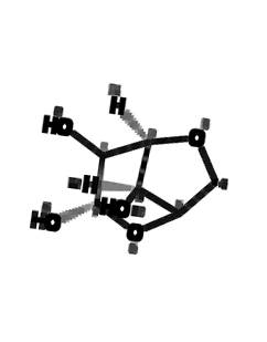 OC1[C@H]2OCC(O[C@@H]1O)[C@H]2O